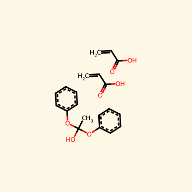 C=CC(=O)O.C=CC(=O)O.CC(O)(Oc1ccccc1)Oc1ccccc1